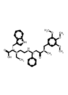 CCN(CCN[C@@H](CC(=O)N(C)Cc1cc(OC)c(OC)c(OC)c1)c1ccccc1)[C@@H](Cc1c[nH]c2ccccc12)C(=O)O